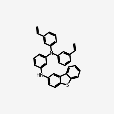 C=Cc1cccc(N(c2cccc(C=C)c2)c2cccc(Nc3ccc4sc5ccccc5c4c3)c2)c1